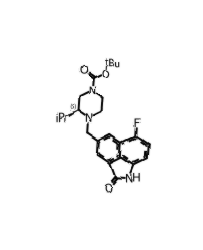 CC(C)[C@H]1CN(C(=O)OC(C)(C)C)CCN1Cc1cc2c3c(ccc(F)c3c1)NC2=O